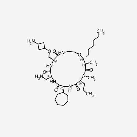 CCCCCC[C@H]1OCCNC(=O)[C@H](COC2CC(N)C2)NC(=O)[C@H](CN)NC(=O)[C@H](C2CCCCCC2)NC(=O)[C@H](CCC)N(C)C(=O)[C@@H]1C